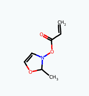 C=CC(=O)ON1C=COC1C